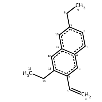 C=Cc1cc2ccc(CC)cc2cc1CC